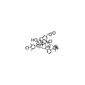 COCOCc1cc(N2C(=O)c3c(CCCOc4cc(C)c(Cl)c(C)c4)c4cccc(-c5c(C)nn(C)c5C)c4n3C(C)C2Cl)c2[nH]c(C(=O)O)cc2c1